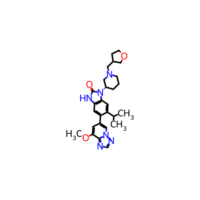 COc1cc(-c2cc3[nH]c(=O)n([C@H]4CCCN(CC5CCOC5)C4)c3cc2C(C)C)cn2ncnc12